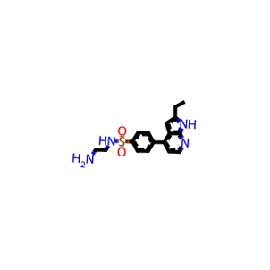 CCc1cc2c(-c3ccc(S(=O)(=O)NCCN)cc3)ccnc2[nH]1